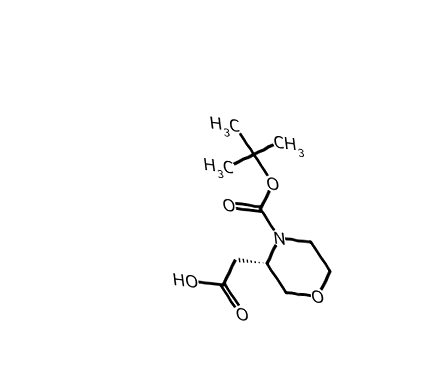 CC(C)(C)OC(=O)N1CCOC[C@@H]1CC(=O)O